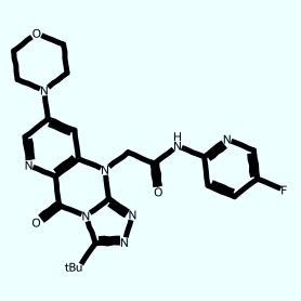 CC(C)(C)c1nnc2n(CC(=O)Nc3ccc(F)cn3)c3cc(N4CCOCC4)cnc3c(=O)n12